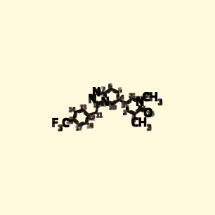 Cc1cc(-c2ccc3nnc(Cc4ccc(C(F)(F)F)cc4)n3c2)cn(C)c1=O